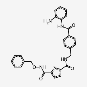 Nc1ccccc1NC(=O)c1ccc(CNC(=O)c2ccc(C(=O)NOCc3ccccc3)s2)cc1